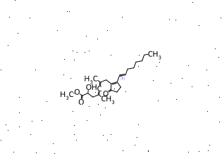 CCCCCC/C=C/C1=C(CC(C)=C=C(C)CC(O)C(=O)OC)C(=O)CC1